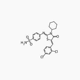 NS(=O)(=O)c1ccc(/N=C2\S/C(=C\c3ccc(Cl)cc3Cl)C(=O)N2C2CCCCC2)cc1